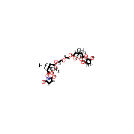 CC(C)(CC(=O)OCCOCCOC(=O)CC(C)(C)CC(=O)ON1C(=O)CCC1=O)CC(=O)OC1C(=O)CCC1=O